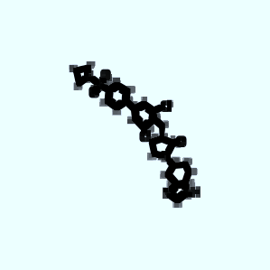 O=C1[C@H](Cc2c(Cl)cc(-c3ccc(S(=O)(=O)N4CCC4)cc3)cc2Cl)CCN1C1CCc2[nH]cnc2C1